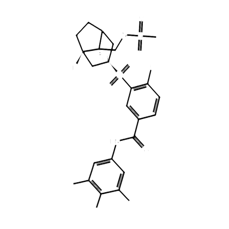 CS(=O)(=O)NC[C@]1(O)C2CC[C@H]1C[C@H](S(=O)(=O)c1cc(C(=O)Nc3cc(F)c(F)c(F)c3)ccc1Cl)C2